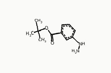 CC(C)(C)OC(=O)c1cccc(NN)c1